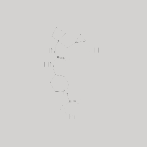 CC(C)OC(=O)N1CCC(NC(=O)NC2(CC3C[C@@H]3C)CCC2)CC1